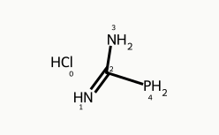 Cl.N=C(N)P